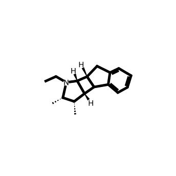 CCN1[C@H]2[C@H](C3c4ccccc4C[C@H]32)[C@H](C)[C@@H]1C